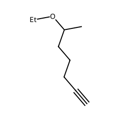 C#CCCCC(C)OCC